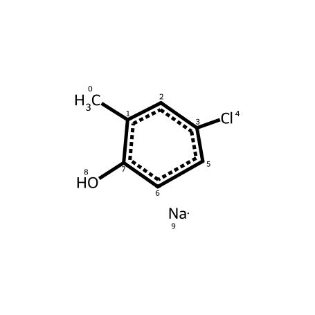 Cc1cc(Cl)ccc1O.[Na]